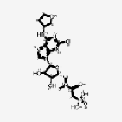 CN(C[C@H]1O[C@@H](n2cnc3c(N[C@H]4CCOC4)nc(Cl)nc32)[C@H](O)[C@@H]1O)C(=O)CP(=O)(O)O